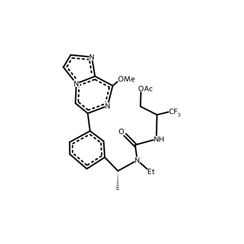 CCN(C(=O)NC(COC(C)=O)C(F)(F)F)[C@H](C)c1cccc(-c2cn3ccnc3c(OC)n2)c1